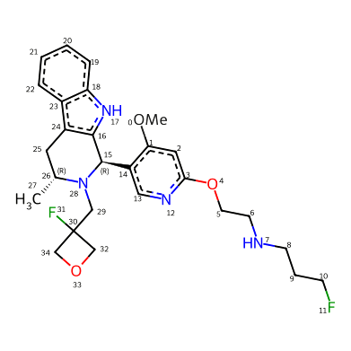 COc1cc(OCCNCCCF)ncc1[C@@H]1c2[nH]c3ccccc3c2C[C@@H](C)N1CC1(F)COC1